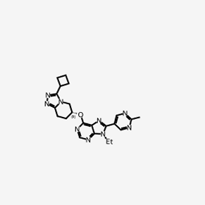 CCn1c(-c2cnc(C)nc2)nc2c(O[C@@H]3CCc4nnc(C5CCC5)n4C3)ncnc21